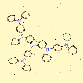 c1ccc(N(c2ccccc2)c2ccc(N(c3ccccc3)c3ccc4c5ccc(N(c6ccccc6)c6ccc(N(c7ccccc7)c7ccccc7)cc6)cc5n(-c5ccc(N(c6ccccc6)c6ccccc6)cc5)c4c3)cc2)cc1